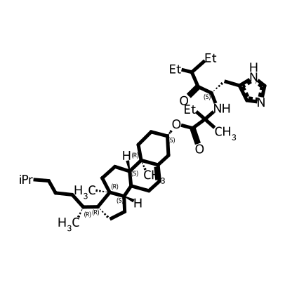 CCC(CC)C(=O)[C@H](Cc1cnc[nH]1)NC(C)(CC)C(=O)O[C@H]1CC[C@@]2(C)C(=CCC3[C@@H]4CC[C@H]([C@H](C)CCCC(C)C)[C@@]4(C)CC[C@@H]32)C1